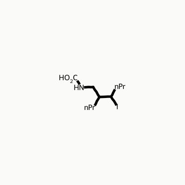 CCCC(I)C(CCC)CNC(=O)O